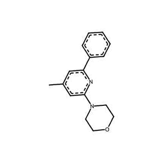 Cc1cc(-c2ccccc2)nc(N2CCOCC2)c1